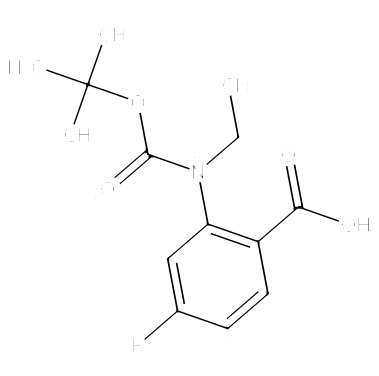 CCN(C(=O)OC(C)(C)C)c1cc(F)ccc1C(=O)O